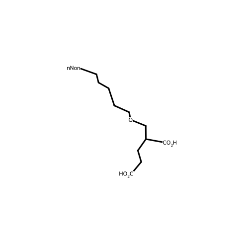 CCCCCCCCCCCCCCOCC(CCC(=O)O)C(=O)O